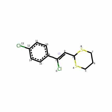 Cl/C(=C\C1SCCCS1)c1ccc(Cl)cc1